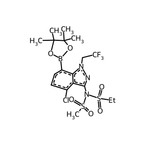 CCS(=O)(=O)N(c1nn(CC(F)(F)F)c2c(B3OC(C)(C)C(C)(C)O3)ccc(Cl)c12)S(C)(=O)=O